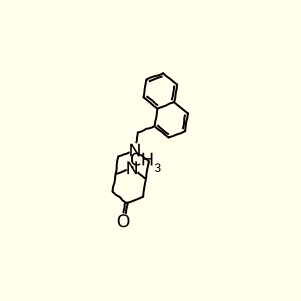 CN1C2CC(=O)CC1CN(Cc1cccc3ccccc13)C2